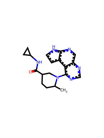 CC1CCC(C(=O)NC2CC2)CN1c1ncnc2cnc3[nH]ccc3c12